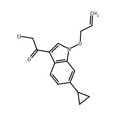 C=CCOn1cc(C(=O)CCl)c2ccc(C3CC3)cc21